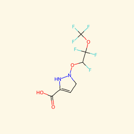 O=C(O)C1=CCN(OC(F)C(F)(F)OC(F)(F)F)N1